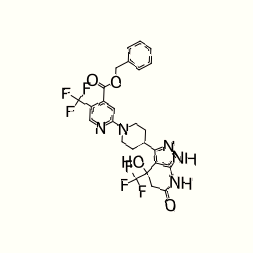 O=C1CC(O)(C(F)(F)F)c2c(C3CCN(c4cc(C(=O)OCc5ccccc5)c(C(F)(F)F)cn4)CC3)n[nH]c2N1